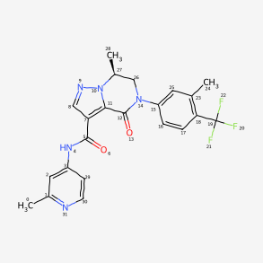 Cc1cc(NC(=O)c2cnn3c2C(=O)N(c2ccc(C(F)(F)F)c(C)c2)C[C@@H]3C)ccn1